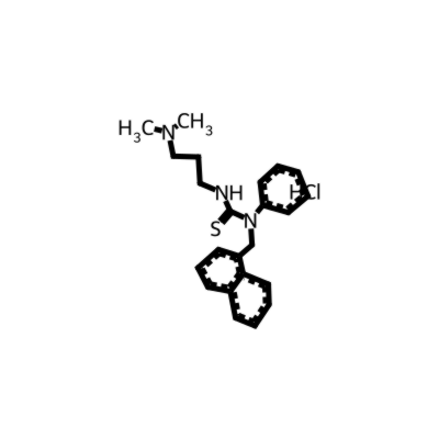 CN(C)CCCNC(=S)N(Cc1cccc2ccccc12)c1ccccc1.Cl